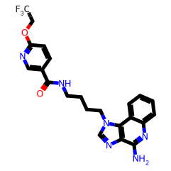 Nc1nc2ccccc2c2c1ncn2CCCCNC(=O)c1ccc(OCC(F)(F)F)nc1